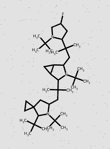 CC(C)(C)C1N(C(C)(C)C)C(CC(C)(C)C2C3CC3C(CC(C)(C)C3CC(F)CN3C(C)(C)C)N2C(C)(C)C)CC12CC2